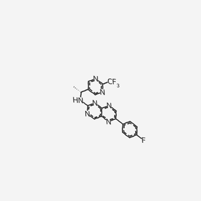 C[C@@H](Nc1ncc2nc(-c3ccc(F)cc3)cnc2n1)c1cnc(C(F)(F)F)nc1